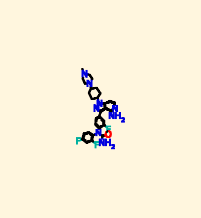 CN1CCN(C2CCC(n3nc(-c4ccc(N(C(N)=O)c5ccc(F)cc5F)c(F)c4)c4c(N)nccc43)CC2)CC1